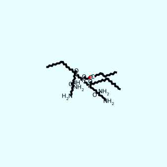 CCCCCCCC/C=C\CCCCCCCC(=O)N(CCCCN(CCCN(CCCCC(=O)[C@@H](N)CCCCN)C(=O)CCCCCCC/C=C\CCCCCCCC)C(=O)CCCCCCC/C=C\CCCCCCCC)CCCNC(=O)[C@@H](N)CCCCN